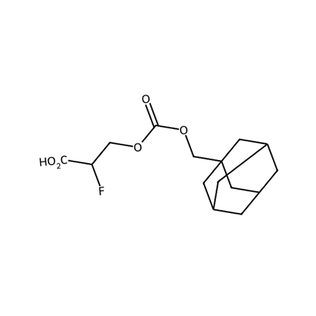 O=C(OCC(F)C(=O)O)OCC12CC3CC(CC(C3)C1)C2